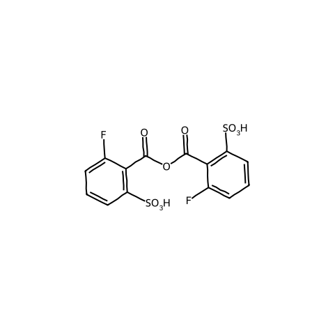 O=C(OC(=O)c1c(F)cccc1S(=O)(=O)O)c1c(F)cccc1S(=O)(=O)O